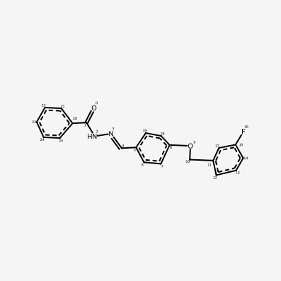 O=C(NN=Cc1ccc(OCc2cccc(F)c2)cc1)c1ccccc1